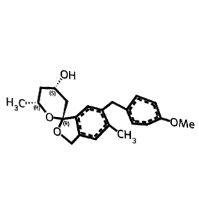 COc1ccc(Cc2cc3c(cc2C)CO[C@@]32C[C@@H](O)C[C@@H](C)O2)cc1